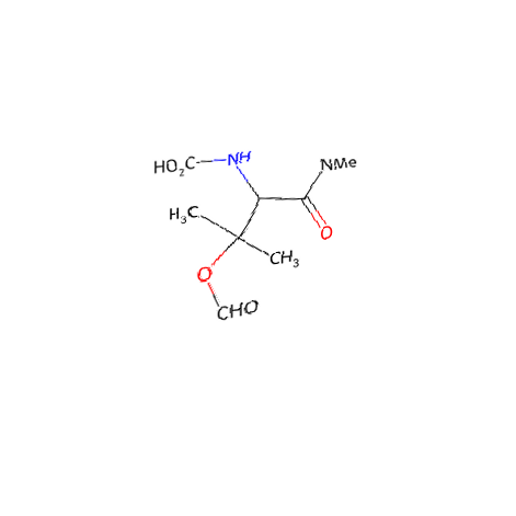 CNC(=O)C(NC(=O)O)C(C)(C)OC=O